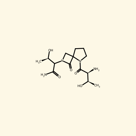 C[C@@H](O)C(C(N)=O)N1CC2(CCCN2C(=O)[C@@H](N)[C@@H](C)O)C1=O